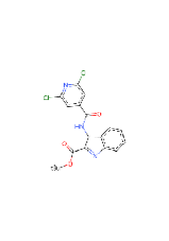 CC(C)(C)OC(=O)C1=Nc2ccccc2C1NC(=O)c1cc(Cl)nc(Cl)c1